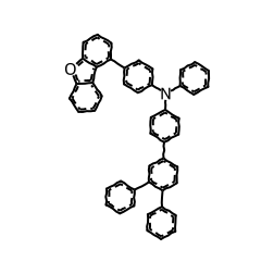 c1ccc(-c2ccc(-c3ccc(N(c4ccccc4)c4ccc(-c5cccc6oc7ccccc7c56)cc4)cc3)cc2-c2ccccc2)cc1